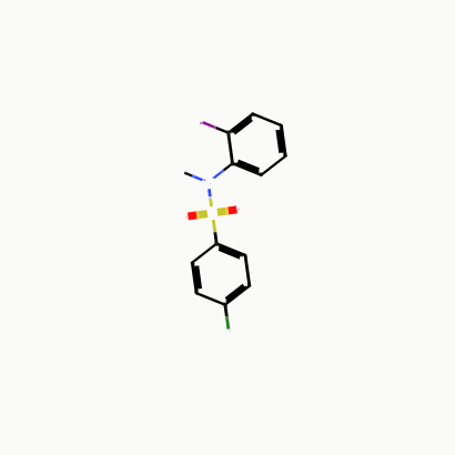 CC(=O)N(c1ccccc1I)S(=O)(=O)c1ccc(Cl)cc1